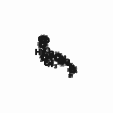 Cc1ccc(NC(=O)c2ccc3c(c2)OCCO3)cc1NC(=O)c1ccc2nc(OCCN3CCC(F)C3)ccc2c1